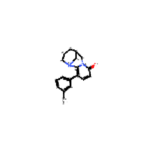 O=c1ccc(-c2cccc(C(F)(F)F)c2)c2n1CC1CCCN2C1